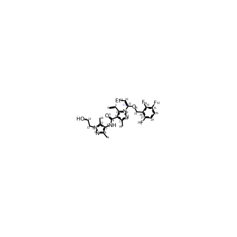 C=Cc1c(C(=O)Nc2c(C)nn(CCO)c2C)c(C)nn1/C(=C\CC)OCc1c(F)ccc(F)c1F